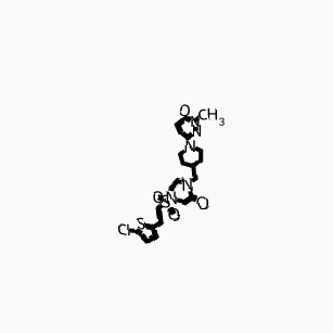 Cn1nc(N2CCC(CN3CCN(S(=O)(=O)C=Cc4ccc(Cl)s4)CC3=O)CC2)ccc1=O